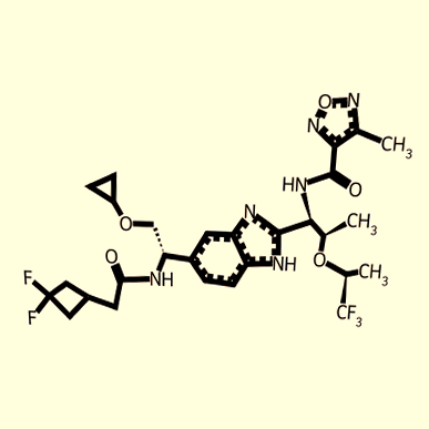 Cc1nonc1C(=O)N[C@H](c1nc2cc([C@@H](COC3CC3)NC(=O)CC3CC(F)(F)C3)ccc2[nH]1)[C@@H](C)O[C@@H](C)C(F)(F)F